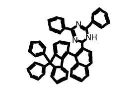 c1ccc(C2=NC(c3ccc4ccccc4c3-c3cccc4c3-c3ccccc3C4(c3ccccc3)c3ccccc3)NC(c3ccccc3)=N2)cc1